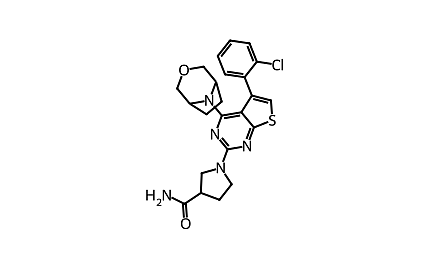 NC(=O)C1CCN(c2nc(N3C4CCC3COC4)c3c(-c4ccccc4Cl)csc3n2)C1